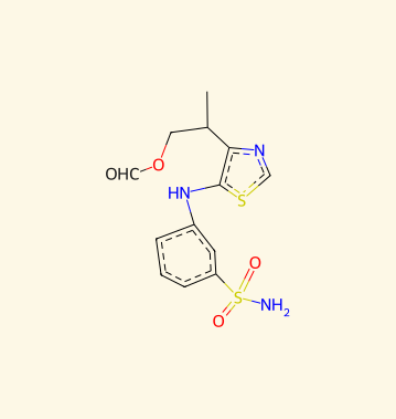 CC(COC=O)c1ncsc1Nc1cccc(S(N)(=O)=O)c1